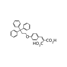 O=C(O)C(=Cc1ccc(OCCC(c2ccccc2)(c2ccccc2)c2ccccc2)cc1)C(=O)O